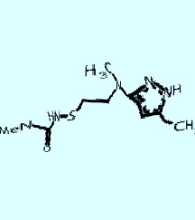 CNC(=O)NSCCN(C)c1cc(C)[nH]n1